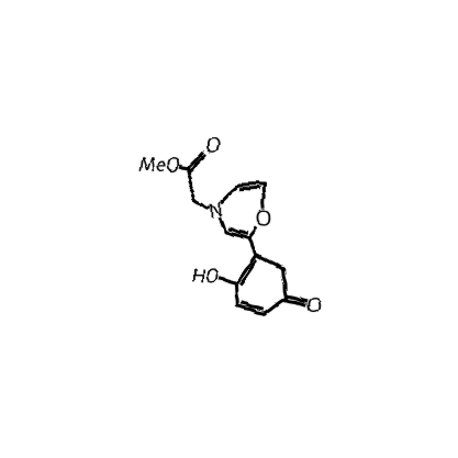 COC(=O)CN1C=COC(C2=C(O)C=CC(=O)C2)=C1